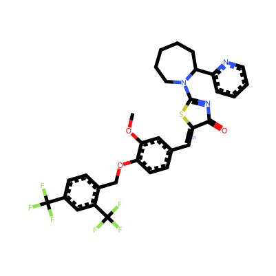 COc1cc(/C=C2\SC(N3CCCCCC3c3ccccn3)=NC2=O)ccc1OCc1ccc(C(F)(F)F)cc1C(F)(F)F